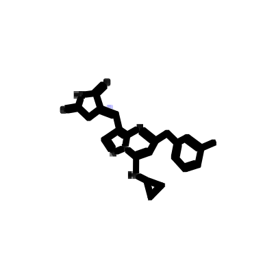 Cc1cccc(Cc2cc(NC3CC3)n3ncc(/C=C4\CC(=O)NC4=O)c3n2)c1